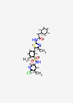 Cc1ccc(-c2sc(NC(=O)CC3CCCCC3)nc2C)cc1S(=O)(=O)Nc1cnc(Cl)c(C)c1